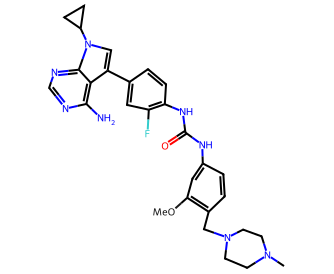 COc1cc(NC(=O)Nc2ccc(-c3cn(C4CC4)c4ncnc(N)c34)cc2F)ccc1CN1CCN(C)CC1